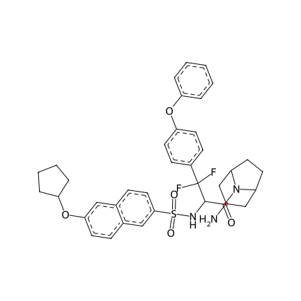 NC1CC2CCC(C1)N2C(=O)C(NS(=O)(=O)c1ccc2cc(OC3CCCC3)ccc2c1)C(F)(F)c1ccc(Oc2ccccc2)cc1